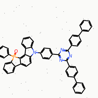 O=P1(c2ccccc2)c2ccccc2-c2ccc3c(c21)c1ccccc1n3-c1ccc(-c2nc(-c3ccc(-c4ccccc4)cc3)nc(-c3ccc(-c4ccccc4)cc3)n2)cc1